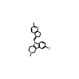 Cc1ccc2c(n1)CC/C2=C\n1c2c(c3cc(Cl)ccc31)CN(C)CC2